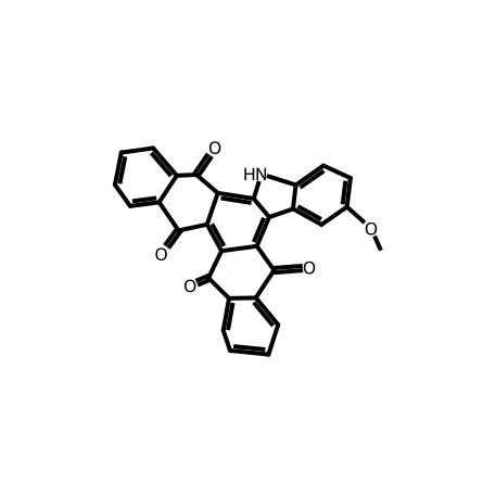 COc1ccc2[nH]c3c4c(=O)c5ccccc5c(=O)c4c4c(=O)c5ccccc5c(=O)c4c3c2c1